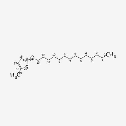 CCCCCCCCCCCCCCOc1ccc(C)s1